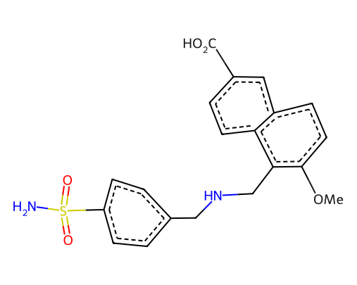 COc1ccc2cc(C(=O)O)ccc2c1CNCc1ccc(S(N)(=O)=O)cc1